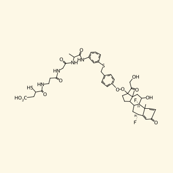 CC(NC(=O)CNC(=O)CCNC(=O)C(S)CC(=O)O)C(=O)Nc1cccc(SCc2ccc(OOC3(C(=O)CO)CCC4C5C[C@@H](F)C6=CC(=O)C=CC6(C)[C@]5(F)C(O)CC43C)cc2)c1